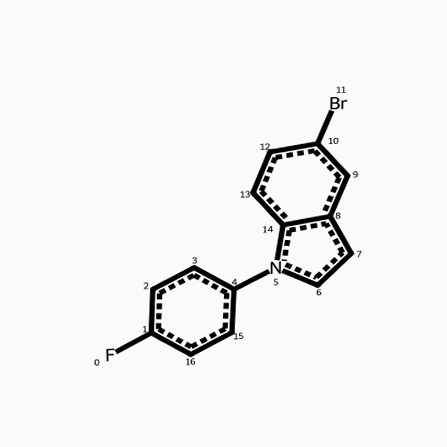 Fc1ccc(-n2ccc3cc(Br)ccc32)cc1